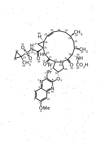 COc1ccc2nc(C(C)C)c(O[C@@H]3C[C@H]4C(=O)N[C@]5(C(=O)NS(=O)(=O)C6(C)CC6)C[C@H]5/C=C\CC[C@@H](C)C[C@@H](C)[C@H](NC(=O)O)C(=O)N4C3)nc2c1